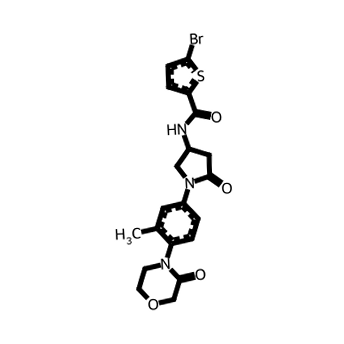 Cc1cc(N2CC(NC(=O)c3ccc(Br)s3)CC2=O)ccc1N1CCOCC1=O